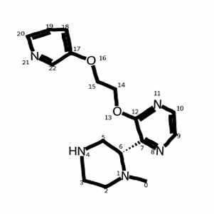 CN1CCNC[C@@H]1c1nccnc1OCCOc1cccnc1